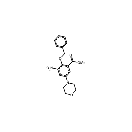 COC(=O)c1cc(N2CCOCC2)cc([N+](=O)[O-])c1OCc1ccccc1